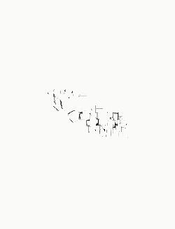 COc1cc(-c2ccc(-c3cnc(N(C)C4CC(C)(C)NC(C)(C)C4)cn3)c(O)c2)ccn1